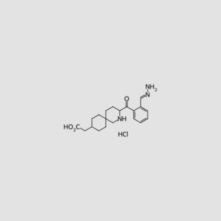 Cl.NN=Cc1ccccc1C(=O)C1CCC2(CCC(CC(=O)O)CC2)CN1